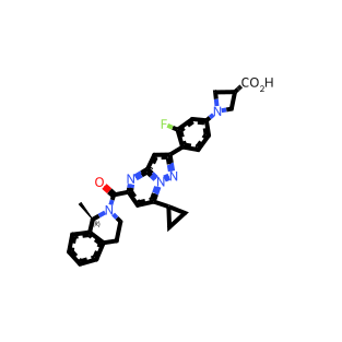 C[C@@H]1c2ccccc2CCN1C(=O)c1cc(C2CC2)n2nc(-c3ccc(N4CC(C(=O)O)C4)cc3F)cc2n1